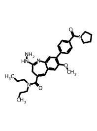 CCCN(CCC)C(=O)C1=Cc2cc(OC)c(-c3ccc(C(=O)N4CCCC4)cc3)cc2N=C(NN)C1